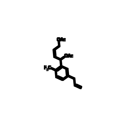 C=CCc1ccc(C(F)(F)F)c(C(/C=C\COC(C)=O)OC(C)=O)c1